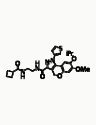 COc1cc2c(cc1OC(C)C)-c1c(c(C(=O)NCCNC(=O)C3CCC3)nn1-c1ccsc1)CO2